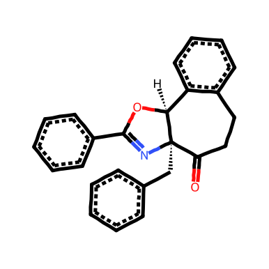 O=C1CCc2ccccc2[C@@H]2OC(c3ccccc3)=N[C@]12Cc1ccccc1